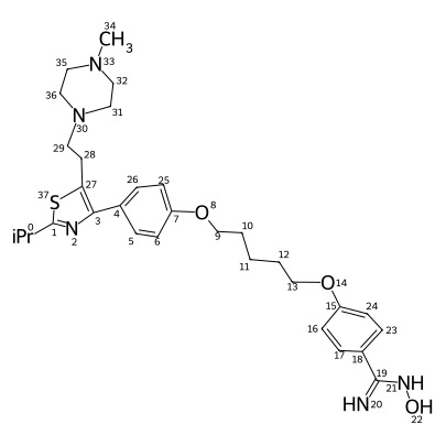 CC(C)c1nc(-c2ccc(OCCCCCOc3ccc(C(=N)NO)cc3)cc2)c(CCN2CCN(C)CC2)s1